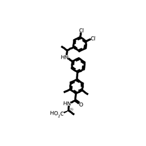 Cc1cc(-c2cccc(NC(C)c3ccc(Cl)c(Cl)c3)c2)cc(C)c1C(=O)N[C@@H](C)C(=O)O